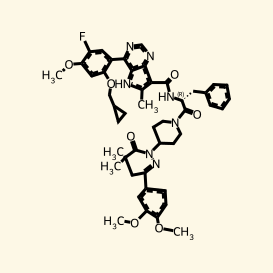 COc1cc(OCC2CC2)c(-c2ncnc3c(C(=O)N[C@H](Cc4ccccc4)C(=O)N4CCC(N5N=C(c6ccc(OC)c(OC)c6)CC(C)(C)C5=O)CC4)c(C)[nH]c23)cc1F